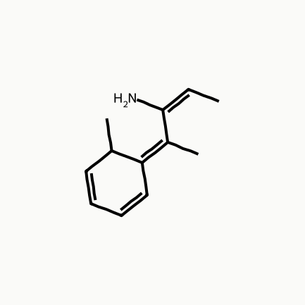 C/C=C(N)\C(C)=C1\C=CC=CC1C